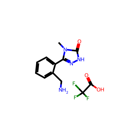 Cn1c(-c2ccccc2CN)n[nH]c1=O.O=C(O)C(F)(F)F